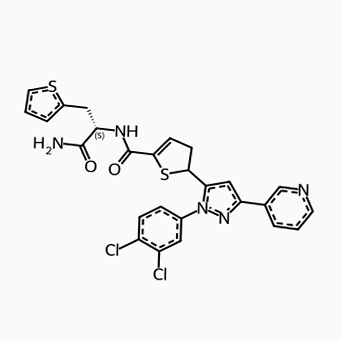 NC(=O)[C@H](Cc1cccs1)NC(=O)C1=CCC(c2cc(-c3cccnc3)nn2-c2ccc(Cl)c(Cl)c2)S1